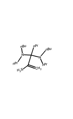 C=C([SiH3])C(CCC)(N(CCC)CCCC)N(CCC)CCCC